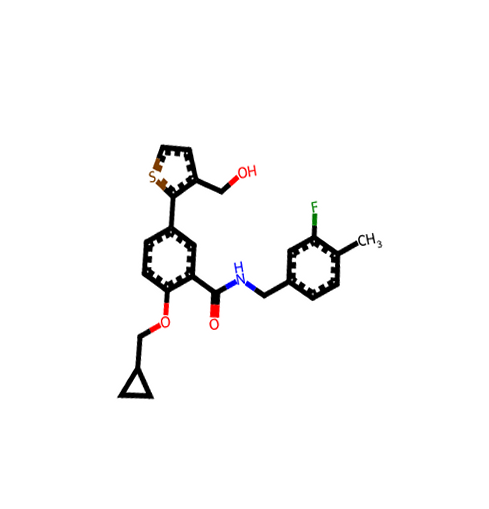 Cc1ccc(CNC(=O)c2cc(-c3sccc3CO)ccc2OCC2CC2)cc1F